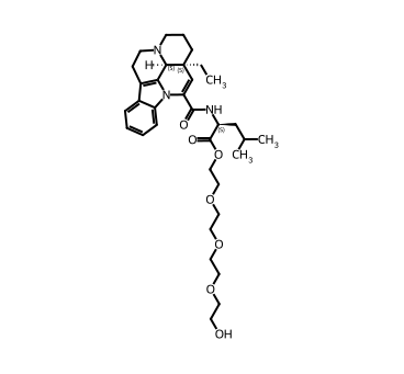 CC[C@@]12C=C(C(=O)N[C@@H](CC(C)C)C(=O)OCCOCCOCCOCCO)n3c4c(c5ccccc53)CCN(CCC1)[C@H]42